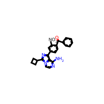 Nc1nccn2c(C3CCC3)nc(-c3ccc(C(=O)c4ccccc4)c([N+](=O)[O-])c3)c12